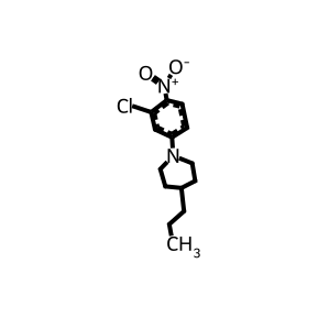 CCCC1CCN(c2ccc([N+](=O)[O-])c(Cl)c2)CC1